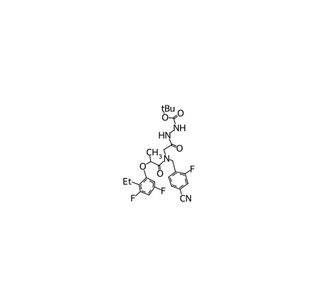 CCc1c(F)cc(F)cc1OC(C)C(=O)N(CC(=O)NNC(=O)OC(C)(C)C)Cc1ccc(C#N)cc1F